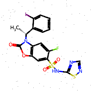 C[C@H](c1ccccc1I)n1c(=O)oc2cc(S(=O)(=O)Nc3ncns3)c(F)cc21